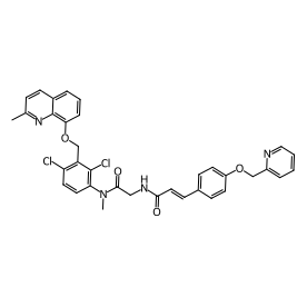 Cc1ccc2cccc(OCc3c(Cl)ccc(N(C)C(=O)CNC(=O)C=Cc4ccc(OCc5ccccn5)cc4)c3Cl)c2n1